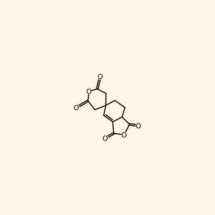 O=C1CC2(C=C3C(=O)OC(=O)C3CC2)CC(=O)O1